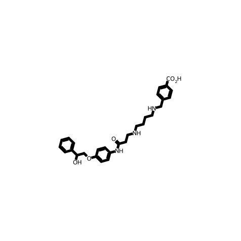 O=C(CCNCCCCNCc1ccc(C(=O)O)cc1)Nc1ccc(OCC(O)c2ccccc2)cc1